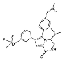 CC(C)[C@H]1CNC(=O)c2cc(-c3cccc(OC(F)(F)F)c3)c(-c3ccc(CN(C)C)cc3)n21